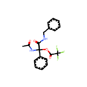 CC(=O)NC(OC(=O)C(F)(F)F)(C(=O)NCc1ccccc1)c1ccccc1